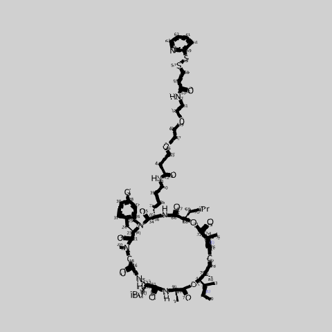 C/C=C(\C)[C@H]1OC(=O)[C@@H](C)NC(=O)[C@H]([C@H](C)CC)NC(=O)CN(C)C(=O)[C@@H](Cc2ccc(Cl)cc2)N(C)C(=O)[C@H](CCCCNC(=O)CCOCCOCCNC(=O)CCSSc2ccccn2)NC(=O)[C@@H](CC(C)C)OC(=O)/C(C)=C/CC[C@@H]1C